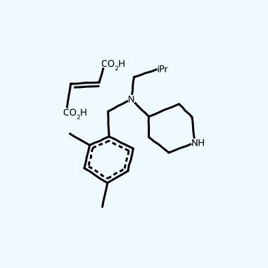 Cc1ccc(CN(CC(C)C)C2CCNCC2)c(C)c1.O=C(O)/C=C/C(=O)O